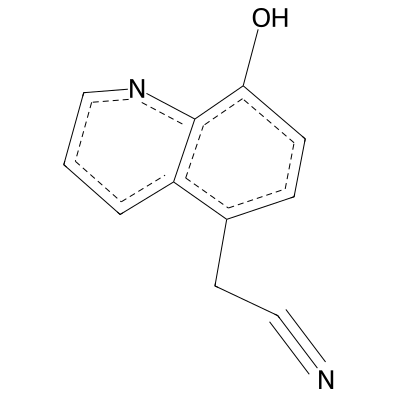 N#CCc1ccc(O)c2ncccc12